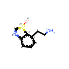 NCCc1cccc2nc[s+]([O-])c12